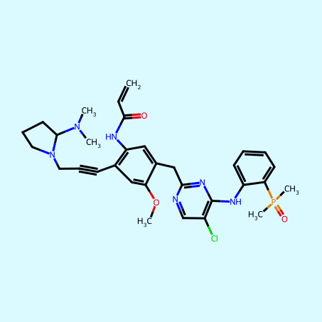 C=CC(=O)Nc1cc(Cc2ncc(Cl)c(Nc3ccccc3P(C)(C)=O)n2)c(OC)cc1C#CCN1CCCC1N(C)C